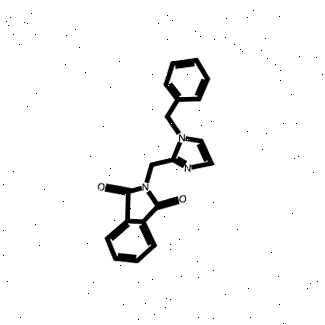 O=C1c2ccccc2C(=O)N1Cc1nccn1Cc1ccccc1